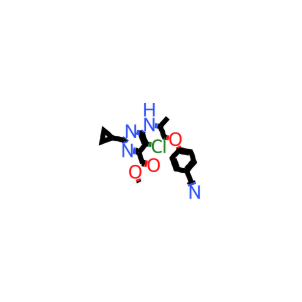 COC(=O)c1nc(C2CC2)nc(NC(C)COc2ccc(C#N)cc2)c1Cl